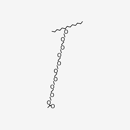 CCCCCCCC(CCCCC)OCCOCCOCCOCCOCCOCCOCCOCCOCCOC(C)=O